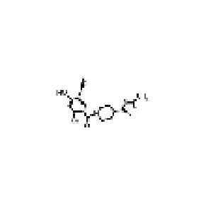 Cc1nc(C2CCN(C(=O)c3cc(C#N)c(O)nc3S)CC2)no1